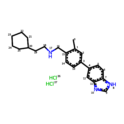 Cc1cc(-c2ccc3[nH]cnc3c2)ccc1CNCCC1CCCCC1.Cl.Cl